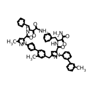 Cc1cccc(-c2cccc(-n3nc(Cc4ccc(-c5ccc(-n6nc(C)cc6C(=O)NC(Cc6ccccc6)C(=O)C(N)=O)cc5)c(C)c4)cc3C(=O)NC(Cc3ccccc3)C(=O)C(N)=O)c2)c1